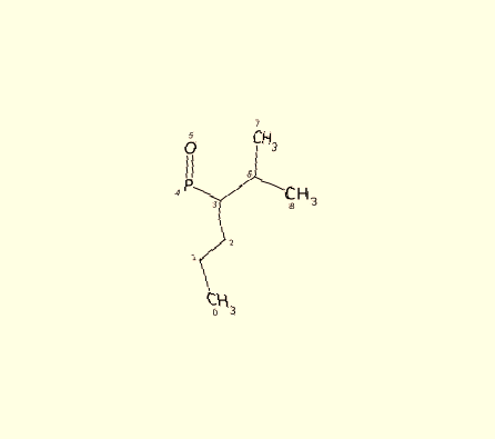 CCCC(P=O)C(C)C